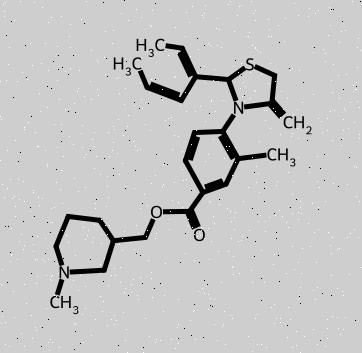 C=C1CSC(C(/C=C\C)=C/C)N1c1ccc(C(=O)OCC2CCCN(C)C2)cc1C